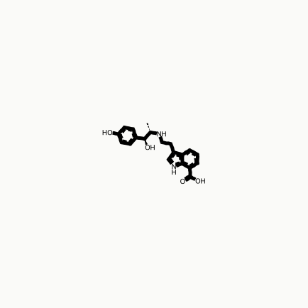 C[C@H](NCCc1c[nH]c2c(C(=O)O)cccc12)[C@@H](O)c1ccc(O)cc1